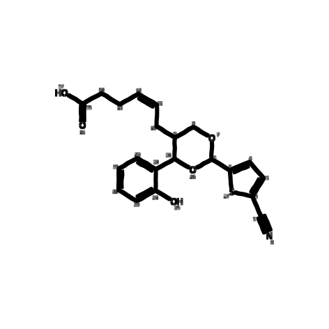 N#Cc1ccc(C2OCC(C/C=C\CCC(=O)O)C(c3ccccc3O)O2)s1